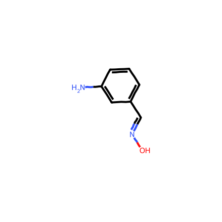 Nc1cccc(/C=N/O)c1